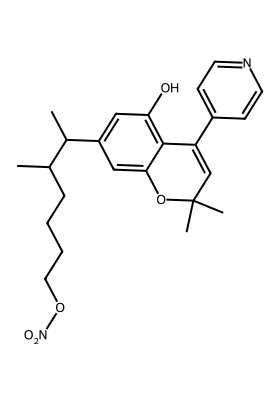 CC(CCCCO[N+](=O)[O-])C(C)c1cc(O)c2c(c1)OC(C)(C)C=C2c1ccncc1